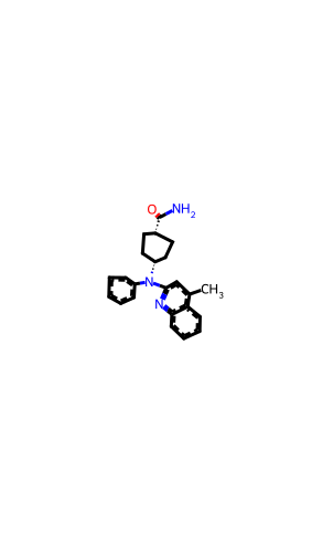 Cc1cc(N(c2ccccc2)[C@H]2CC[C@@H](C(N)=O)CC2)nc2ccccc12